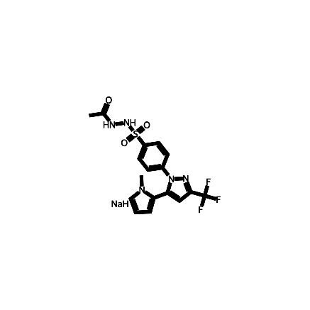 CC(=O)NNS(=O)(=O)c1ccc(-n2nc(C(F)(F)F)cc2-c2cccn2C)cc1.[NaH]